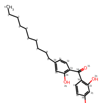 CCCCCCCCCCc1ccc(C(=O)c2ccc(O)cc2O)c(O)c1